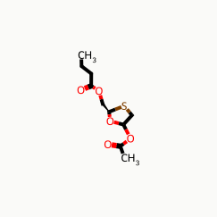 CCCC(=O)OC[C@@H]1OC(OC(C)=O)CS1